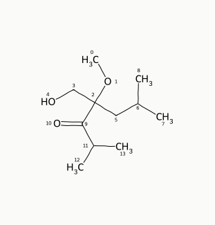 COC(CO)(CC(C)C)C(=O)C(C)C